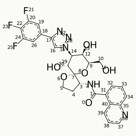 O=C(N[C@@H]1CCO[C@]12O[C@H](CO)[C@H](O)[C@H](n1cc(-c3cc(F)c(F)c(F)c3)nn1)[C@H]2O)c1cccc2ncccc12